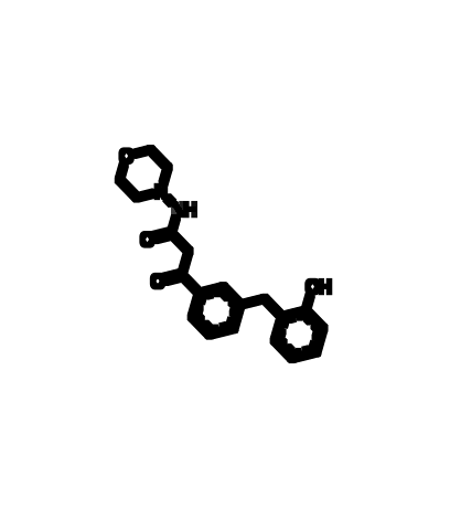 O=C(CC(=O)c1cccc(Cc2ccccc2O)c1)NN1CCOCC1